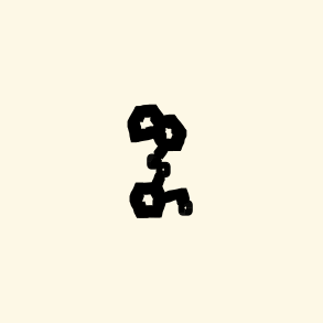 O=Cc1ccccc1OOc1cccc2ccccc12